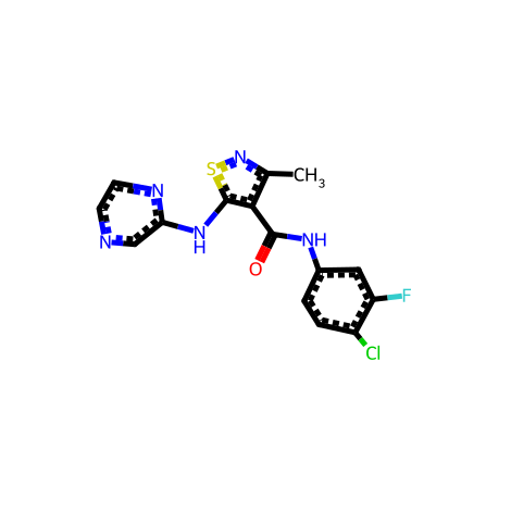 Cc1nsc(Nc2cnccn2)c1C(=O)Nc1ccc(Cl)c(F)c1